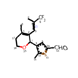 CC1=C(/C=C(\C)C(F)(F)F)C(c2cc(C=O)sc2C)OCC1